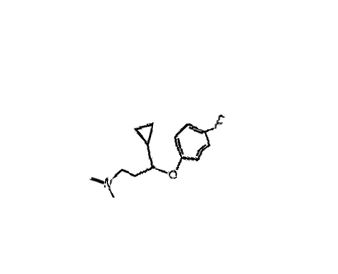 CN(C)CCC(Oc1ccc(F)cc1)C1CC1